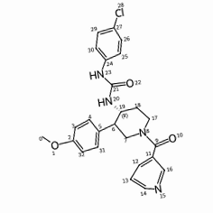 COc1ccc(C2CN(C(=O)c3cccnc3)CC[C@H]2NC(=O)Nc2ccc(Cl)cc2)cc1